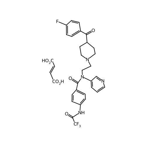 O=C(O)C=CC(=O)O.O=C(c1ccc(F)cc1)C1CCN(CCN(C(=O)c2ccc(NC(=O)C(F)(F)F)cc2)c2cccnc2)CC1